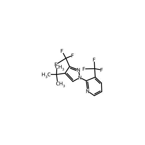 CC(C)(C)c1cn(-c2ncccc2C(F)(F)F)nc1C(F)(F)F